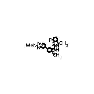 CNc1nc2cc(-c3ccc4c(c3)c(C(=O)N[C@@H](C)c3cccc(F)c3)cn4C)ccn2n1